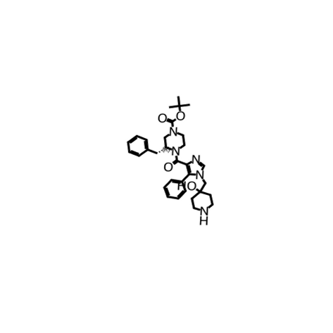 CC(C)(C)OC(=O)N1CCN(C(=O)c2ncn(CC3(O)CCNCC3)c2-c2ccccc2)[C@H](Cc2ccccc2)C1